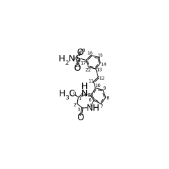 C[C@@H]1CC(=O)Nc2cccc(/C=C/c3cccc(S(N)(=O)=O)c3)c2N1